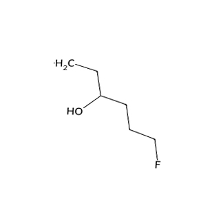 [CH2]CC(O)CCCF